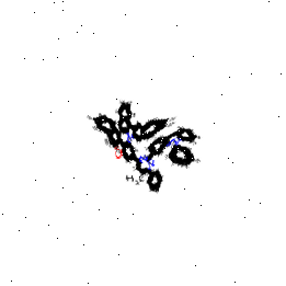 CC1=C(c2ccccc2)N=C(c2ccc3c4ccccc4n(-c4ccccc4)c3c2)N=C(c2cc(-n3c4cc5ccccc5cc4c4c5ccccc5ccc43)c3c(c2)oc2cc4ccccc4cc23)C1